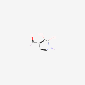 O=C(I)C1=C(O)C(O)N(I)C=C1